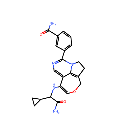 NC(=O)c1cccc(C2=NC=C3C(NC(C(N)=O)C4CC4)=COCC4=C3N2CC4)c1